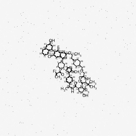 C=C(F)C(=O)N1CCN(c2nc(O[C@H](C)CN3CCC(COCC(=O)N[C@H](C(=O)N4C[C@H](O)C[C@H]4C(=O)N[C@@H](C)c4ccc(-c5scnc5C)cc4)C(C)(C)C)CC3)nc3c(F)c(-c4cc(O)cc5ccccc45)c(Cl)cc23)CC1